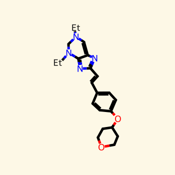 CCN1C=C2N=C(/C=C/c3ccc(OC4CCOCC4)cc3)N=C2N(CC)C1